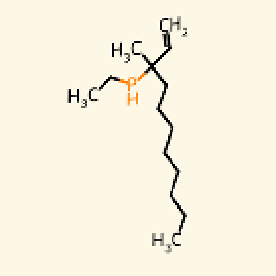 C=CC(C)(CCCCCCCC)PCC